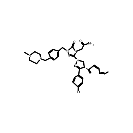 C=C(/C=C\C=C/C)[C@H]1CN(c2nn(Cc3ccc(CN4CCN(C)CC4)cc3)c(=O)n2CC(N)=O)N=C1c1ccc(CC)cc1